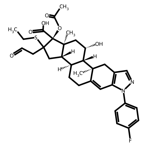 CCSC1(CC=O)C[C@H]2[C@@H]3CCC4=Cc5c(cnn5-c5ccc(F)cc5)C[C@]4(C)[C@H]3[C@@H](O)C[C@]2(C)[C@@]1(OC(C)=O)C(=O)O